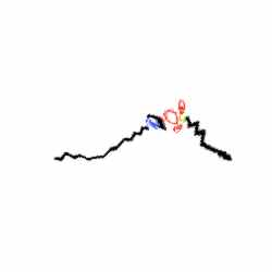 CCCCCCCCCCCCCCCCN1CC(OS(=O)(=O)CCCCCCCC)C1